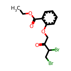 CCOC(=O)c1ccccc1OCC(=O)C(Br)CBr